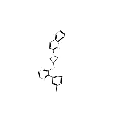 Cc1cccc(-c2nccnc2OC2CN(c3ccc4ccccc4n3)C2)c1